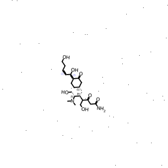 CN(C)[C@H](CO)[C@H](C[C@@H]1CC/C(=C(O)\C=C/CCO)C(=O)C1)C(CO)C(=O)CC(N)=O